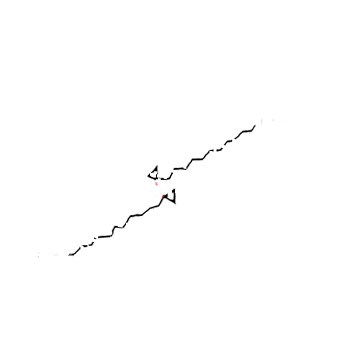 CCCCCCCCCCCCCCCCCCCCCC1(OC2(CCCCCCCCCCCCCCCCCCCCC)CC2)CC1